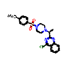 COc1ccc(S(=O)(=O)N2CCN(C(C)c3nc(Cl)c4ccccc4n3)CC2)cc1